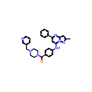 Cc1cc2nc(-c3ccccc3)cc(Nc3ccc(C(=O)N4CCN(Cc5cccnc5)CC4)cc3)n2n1